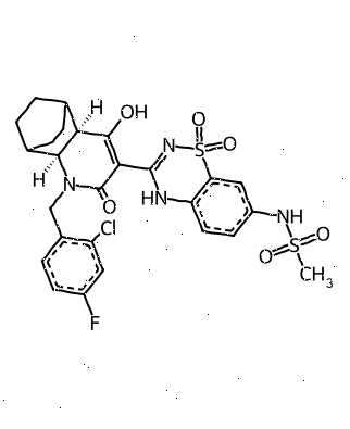 CS(=O)(=O)Nc1ccc2c(c1)S(=O)(=O)N=C(C1=C(O)[C@@H]3C4CCC(CC4)[C@@H]3N(Cc3ccc(F)cc3Cl)C1=O)N2